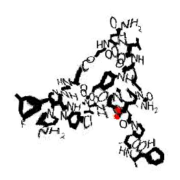 CC[C@H](C)[C@@H]([C@@H](CC(=O)N1CCC[C@H]1C[C@@H](C)C(=O)N[C@H](C)[C@@H](O)c1ccccc1)OC)N(C)C(=O)[C@@H](NC(=O)[C@H](C(C)C)N(C)C(=O)OCc1ccc(NC(=O)[C@H](CCCNC(N)=O)NC(=O)[C@@H](NC(=O)[C@H](CCC(N)=O)NC(=O)CCOCCC(=O)NCCNc2ncc(-c3cc(C)cc(F)c3)c(N3CCC(N)CC3)c2-c2nc3ccc(Cl)cc3[nH]2)C(C)C)cc1)C(C)C